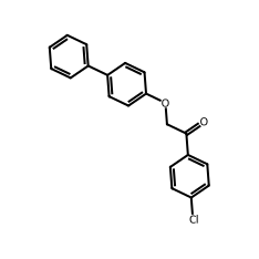 O=C(COc1ccc(-c2ccccc2)cc1)c1ccc(Cl)cc1